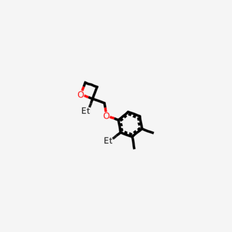 CCc1c(OCC2(CC)CCO2)ccc(C)c1C